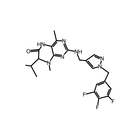 Cc1nc(NCc2cnn(Cc3cc(F)c(F)c(F)c3)c2)nc2c1NC(=O)C(C(C)C)N2C